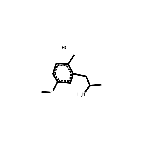 COc1ccc(I)c(CC(C)N)c1.Cl